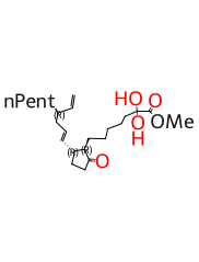 C=C[C@@H](CC=C[C@H]1CCC(=O)[C@@H]1CCCCCC(O)(O)C(=O)OC)CCCCC